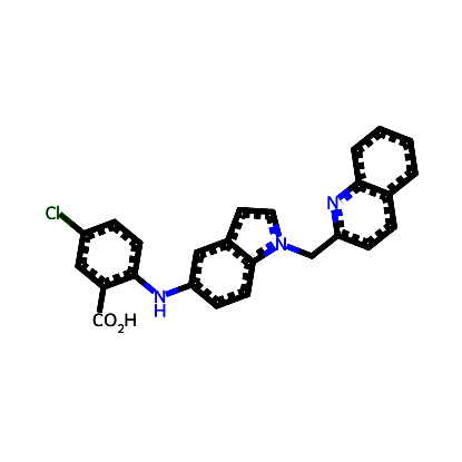 O=C(O)c1cc(Cl)ccc1Nc1ccc2c(ccn2Cc2ccc3ccccc3n2)c1